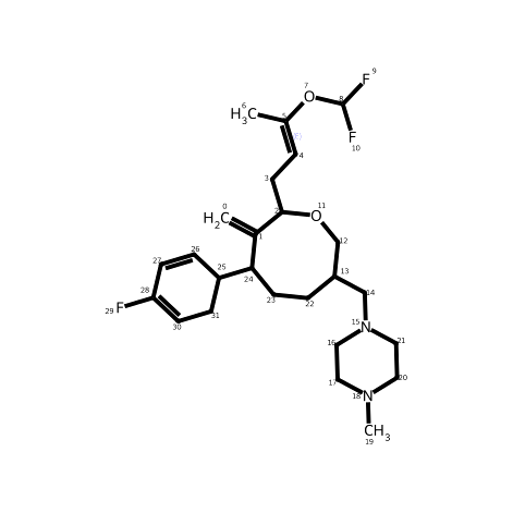 C=C1C(C/C=C(\C)OC(F)F)OCC(CN2CCN(C)CC2)CCC1C1C=CC(F)=CC1